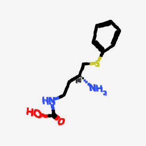 N[C@H](CCNC(=O)O)CSc1ccccc1